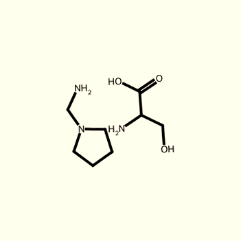 NC(CO)C(=O)O.NCN1CCCC1